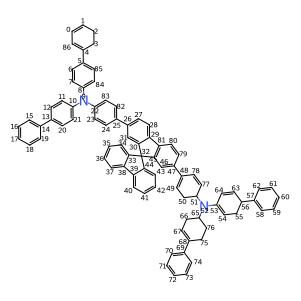 C1=CCCC(c2ccc(N(c3ccc(-c4ccccc4)cc3)c3ccc(-c4ccc5c(c4)C4(c6ccccc6-c6ccccc64)c4cc(C6=CCC(N(C7=CCC(c8ccccc8)C=C7)C7CC=C(c8ccccc8)CC7)C=C6)ccc4-5)cc3)cc2)=C1